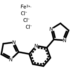 C1=NC(c2cccc(C3=NCC=N3)n2)=NC1.[Cl-].[Cl-].[Cl-].[Fe+3]